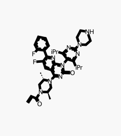 C=CC(=O)N1C[C@H](C)N(c2nc(=O)n(-c3c(C(C)C)nc(N4CCNCC4)nc3C(C)C)c3nc(-c4ccccc4F)c(F)cc23)C[C@H]1C